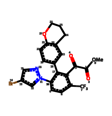 COC(=O)C(=O)c1c(C(F)(F)F)ccc(-n2cc(Br)cn2)c1-c1ccc2c(c1)CCCO2